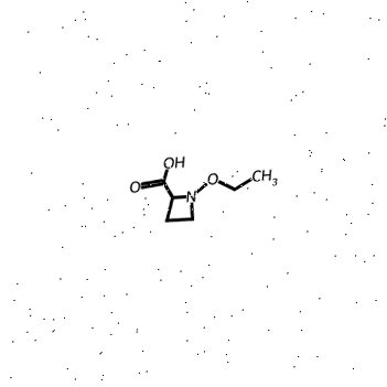 CCON1CCC1C(=O)O